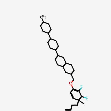 C=CCCC1(C)C=CC(OCC2CCC3CC(C4CCC(C5CCC(CCC)CC5)CC4)CCC3C2)=C(F)C1F